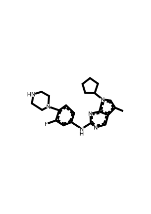 Cc1cn(C2CCCC2)c2nc(Nc3ccc(N4CCNCC4)c(F)c3)ncc12